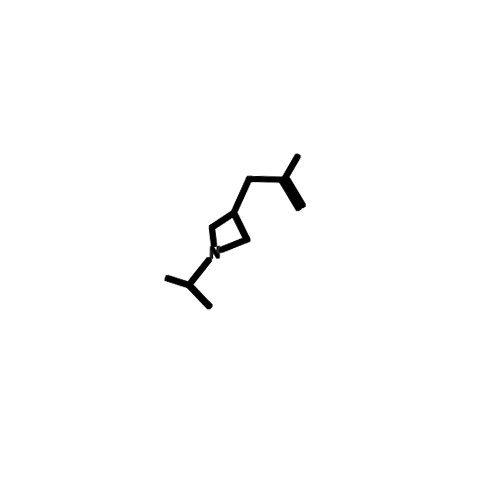 C=C(C)CC1CN(C(C)C)C1